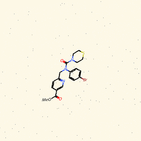 COC(=O)c1ccc(CN(C(=O)N2CCSCC2)c2ccc(Br)cc2)nc1